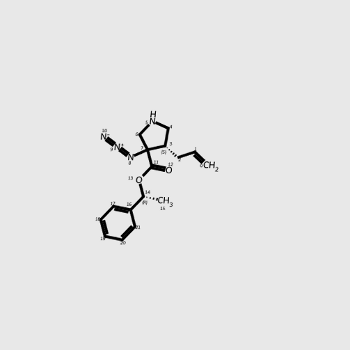 C=CC[C@H]1CNCC1(N=[N+]=[N-])C(=O)O[C@H](C)c1ccccc1